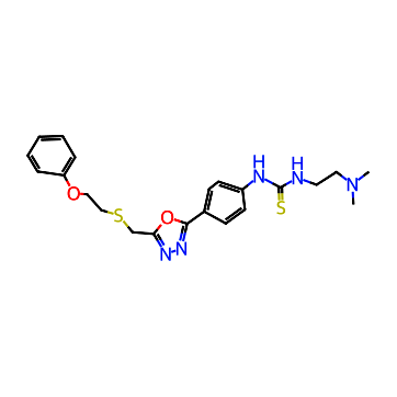 CN(C)CCNC(=S)Nc1ccc(-c2nnc(CSCCOc3ccccc3)o2)cc1